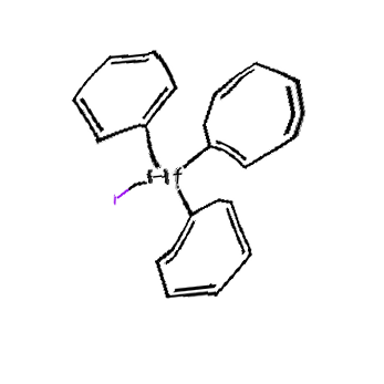 [I][Hf]([c]1ccccc1)([c]1ccccc1)[c]1ccccc1